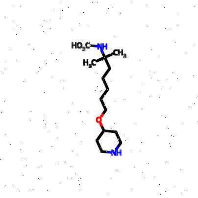 CC(C)(CCCCCOC1CCNCC1)NC(=O)O